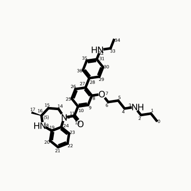 CCCNCCCOc1cc(C(=O)N2CC[C@H](C)Nc3ccccc32)ccc1-c1ccc(NCC)cc1